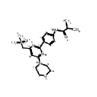 CC(C)C(=O)Nc1ccc(-c2nc(CS(C)(=O)=O)cc(N3CCOCC3)n2)cc1